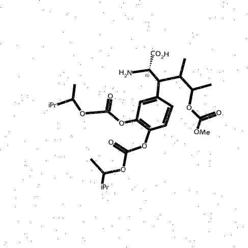 COC(=O)OC(C)C(C)C(c1ccc(OC(=O)OC(C)C(C)C)c(OC(=O)OC(C)C(C)C)c1)[C@H](N)C(=O)O